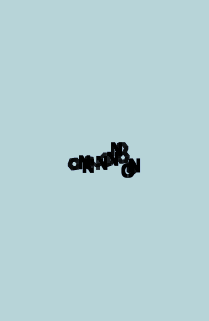 c1ccc(-n2ccc(CN3CCCN(c4cc(-c5ncco5)cc5cccnc45)CC3)n2)cc1